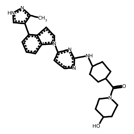 Cc1n[nH]cc1-c1cccc2c1ccn2-c1ccnc(NC2CCC(C(=O)N3CCC(O)CC3)CC2)n1